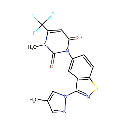 Cc1cnn(-c2nsc3ccc(-n4c(=O)cc(C(F)(F)F)n(C)c4=O)cc23)c1